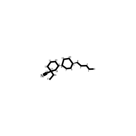 CCCCC[C@H]1CC[C@H](C2CCCC(C#N)(CC)C2)CC1